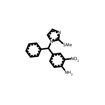 CSc1nccn1C(c1ccccc1)c1ccc(N)c([N+](=O)[O-])c1